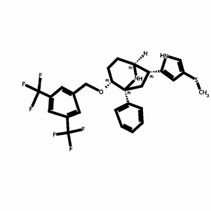 CSc1c[nH]c([C@@H]2C[C@]3(c4ccccc4)N[C@H]2CC[C@H]3OCc2cc(C(F)(F)F)cc(C(F)(F)F)c2)c1